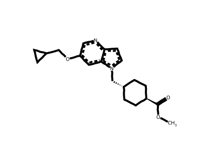 COC(=O)[C@H]1CC[C@H](Cn2ccc3ncc(OCC4CC4)cc32)CC1